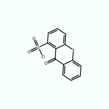 O=c1c2ccccc2sc2cccc(S(=O)(=O)Cl)c12